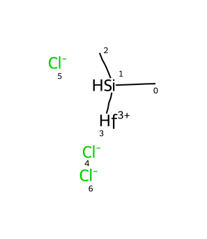 C[SiH](C)[Hf+3].[Cl-].[Cl-].[Cl-]